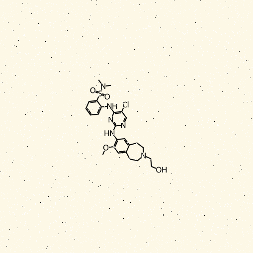 COc1cc2c(cc1Nc1ncc(Cl)c(Nc3ccccc3S(=O)(=O)N(C)C)n1)CCN(CCO)CC2